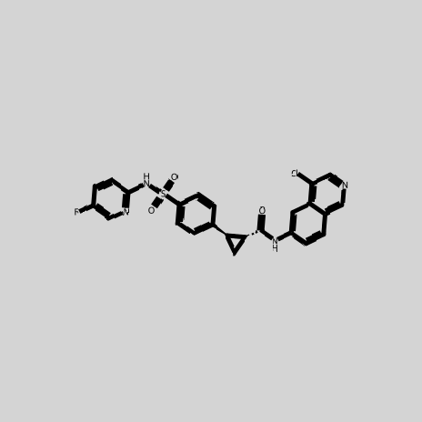 O=C(Nc1ccc2cncc(Cl)c2c1)[C@@H]1C[C@H]1c1ccc(S(=O)(=O)Nc2ccc(F)cn2)cc1